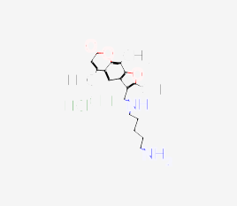 Cc1oc2c(C)c3oc(=O)cc(C)c3cc2c1CNCCCCCN.Cl.Cl